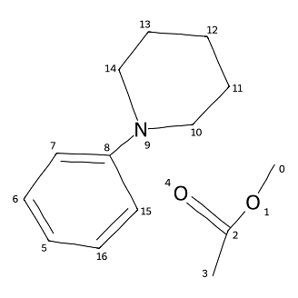 COC(C)=O.c1ccc(N2CCCCC2)cc1